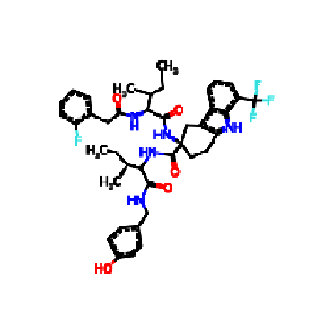 CCC(C)[C@H](NC(=O)Cc1ccccc1F)C(=O)N[C@]1(C(=O)NC(C(=O)NCc2ccc(O)cc2)[C@@H](C)CC)CCc2[nH]c3c(C(F)(F)F)cccc3c2C1